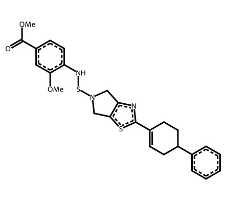 COC(=O)c1ccc(NSN2Cc3nc(C4=CCC(c5ccccc5)CC4)sc3C2)c(OC)c1